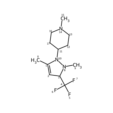 CC1=CC(C(F)(F)F)N(C)N1C1CCN(C)CC1